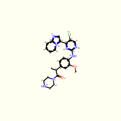 COc1cc(C(C)C(=O)N2CCNCC2)ccc1Nc1ncc(Cl)c(-c2cnc3ccccn23)n1